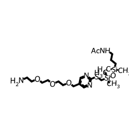 CC(=O)NCCC[Si](C)(C)O[Si](C)(C)CSc1ncc(COCCOCCOCCN)cn1